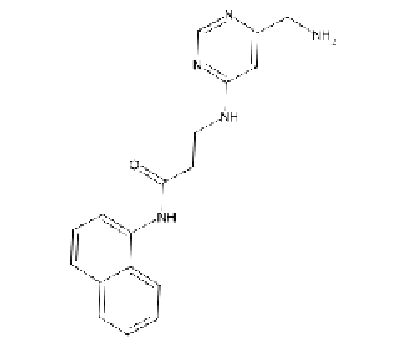 NCc1cc(NCCC(=O)Nc2cccc3ccccc23)ncn1